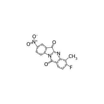 Cc1c(F)ccc2c(=O)n3c(nc12)C(=O)c1cc([N+](=O)[O-])ccc1-3